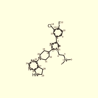 CN(C)CCn1cc(-c2ccc(F)c(Cl)c2)nc1C1CCN(c2ncnc3c2CCN3)CC1